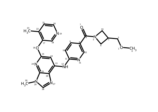 COCC1CN(C(=O)c2ccc(Nc3cc(Oc4cnccc4C)nc4c3ncn4C)nc2)C1